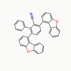 N#Cc1c(-c2cccc3oc4ccccc4c23)ccc(-c2cccc3oc4ccccc4c23)c1-c1ccccc1